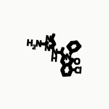 Cc1cc(NC(C)c2cc3cccc(Cl)c3c(=O)n2-c2ccccc2)nc(N)n1